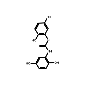 O=C(Nc1cc(O)ccc1O)Nc1cc(O)ccc1O